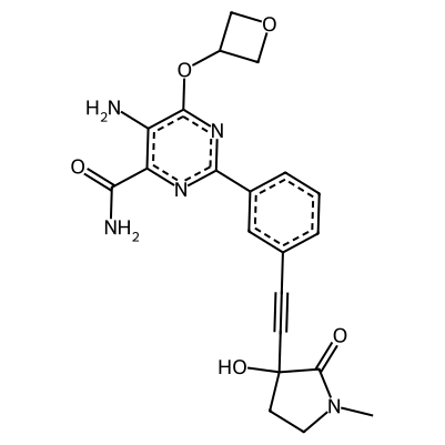 CN1CCC(O)(C#Cc2cccc(-c3nc(OC4COC4)c(N)c(C(N)=O)n3)c2)C1=O